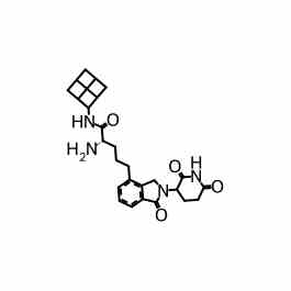 N[C@@H](CCCc1cccc2c1CN(C1CCC(=O)NC1=O)C2=O)C(=O)NC1C2CC3CC4CC1C342